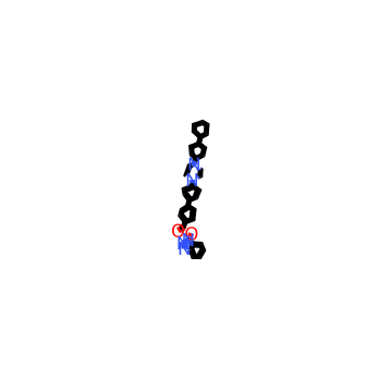 O=C(On1nnc2ccccc21)c1ccc(-c2ccc(N3CCN(C4CCC(C5CCCCC5)CC4)CC3)cc2)cc1